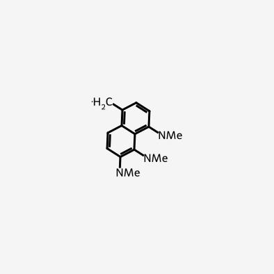 [CH2]c1ccc(NC)c2c(NC)c(NC)ccc12